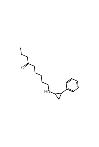 CCCC(=O)CCCCCNC1CC1c1ccccc1